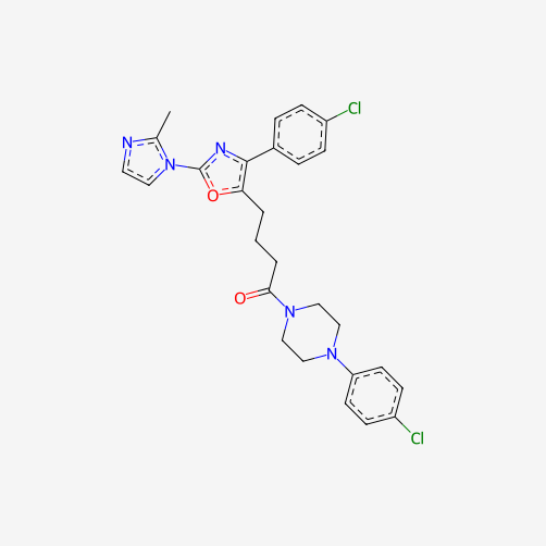 Cc1nccn1-c1nc(-c2ccc(Cl)cc2)c(CCCC(=O)N2CCN(c3ccc(Cl)cc3)CC2)o1